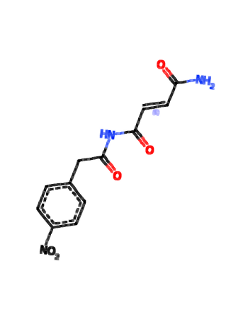 NC(=O)/C=C/C(=O)NC(=O)Cc1ccc([N+](=O)[O-])cc1